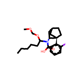 CCCCCC(OCOC)N(C(=O)O)[C@H]1CC2CC[C@@]1(c1ccccc1I)C2